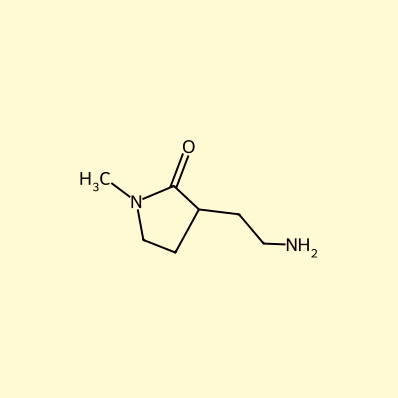 CN1CCC(CCN)C1=O